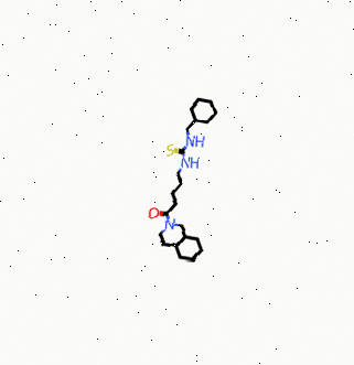 O=C(CCCCNC(=S)NCC1CCCCC1)N1CCC2CCCCC2C1